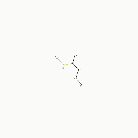 CCCC(C)S[S]